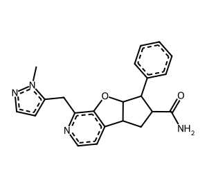 Cn1nccc1Cc1nccc2c1OC1C2CC(C(N)=O)C1c1ccccc1